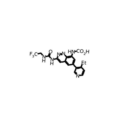 CCc1ccncc1-c1cc(NC(=O)O)c2nnc(NC(=O)NCC(F)(F)F)cc2c1